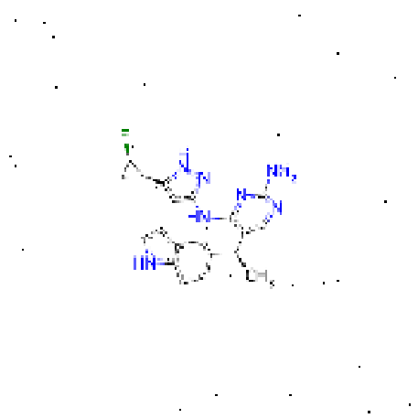 C[C@@H](c1ccc2[nH]ccc2c1)c1cnc(N)nc1Nc1cc([C@H]2C[C@H]2F)[nH]n1